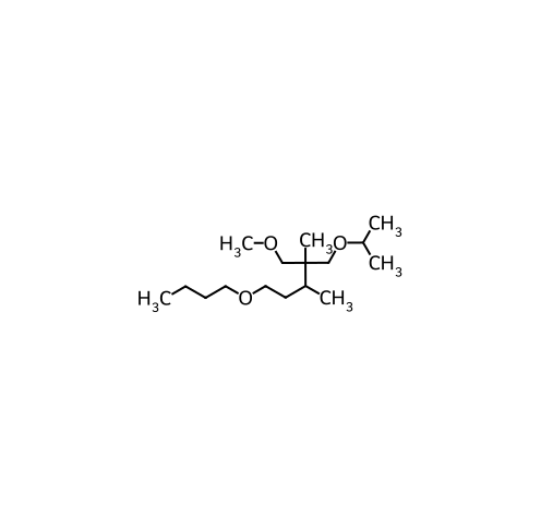 CCCCOCCC(C)C(C)(COC)COC(C)C